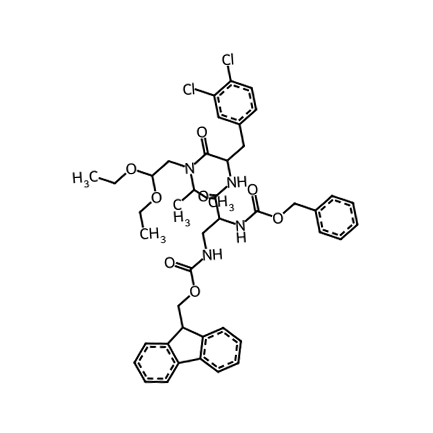 CCOC(CN(C(=O)C(Cc1ccc(Cl)c(Cl)c1)NC(=O)C(CNC(=O)OCC1c2ccccc2-c2ccccc21)NC(=O)OCc1ccccc1)C(C)C)OCC